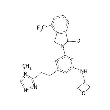 Cn1cnnc1CCc1cc(NC2COC2)cc(N2Cc3c(cccc3C(F)(F)F)C2=O)c1